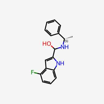 C[C@H](NC(O)c1cc2c(F)cccc2[nH]1)c1ccccc1